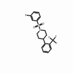 O=S(=O)(c1cccc(F)c1)N1CCC(c2ccccc2C(F)(F)F)CC1